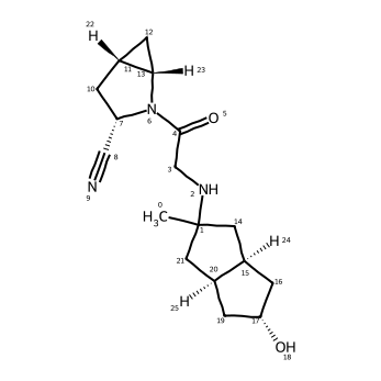 CC1(NCC(=O)N2[C@H](C#N)C[C@@H]3C[C@@H]32)C[C@H]2C[C@H](O)C[C@H]2C1